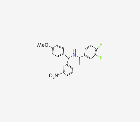 COc1ccc(C(NC(C)c2ccc(F)c(F)c2)c2cccc([N+](=O)[O-])c2)cc1